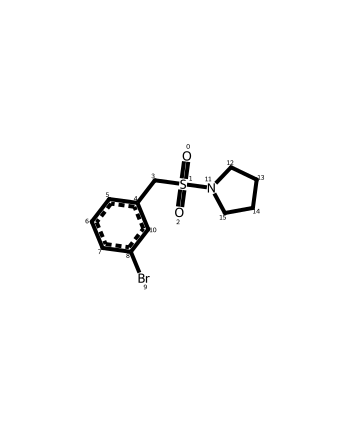 O=S(=O)(Cc1cccc(Br)c1)N1CCCC1